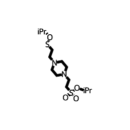 CC(C)OSCCN1CCN(CCS(=O)(=O)OC(C)C)CC1